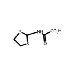 O=C(O)C(=O)NC1SCCS1